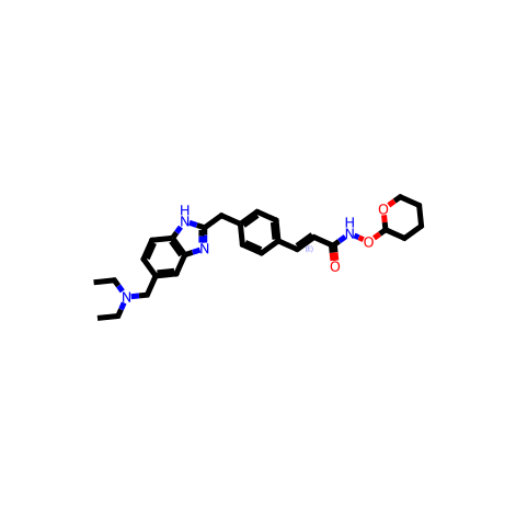 CCN(CC)Cc1ccc2[nH]c(Cc3ccc(/C=C/C(=O)NOC4CCCCO4)cc3)nc2c1